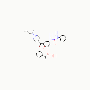 CC(C(=O)O)c1ccccc1.CCCC(C)N1CCC(c2coc3ccc(NC(=O)Nc4ccccc4)cc23)CC1